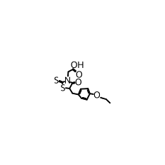 CCCOc1ccc(CC2SC(=S)N(CC(=O)O)C2=O)cc1